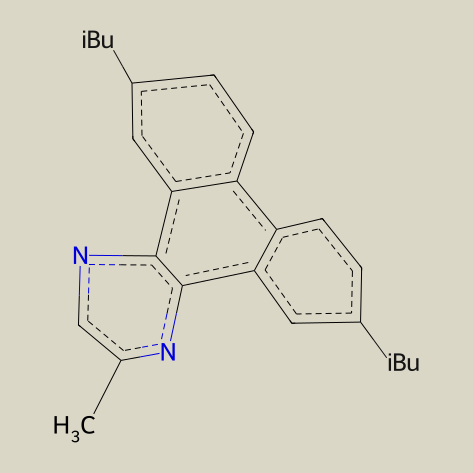 CCC(C)c1ccc2c3ccc(C(C)CC)cc3c3nc(C)cnc3c2c1